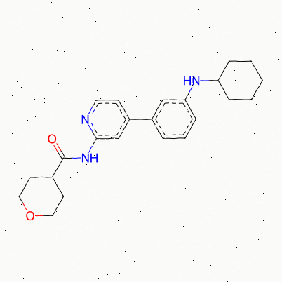 O=C(Nc1cc(-c2cccc(NC3CCCCC3)c2)ccn1)C1CCOCC1